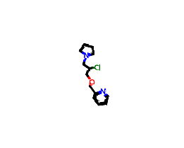 ClC(COCc1ccccn1)CN1CCCC1